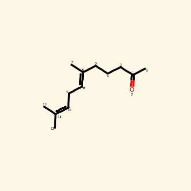 CC(=O)CCCC(C)=CCC=C(C)C